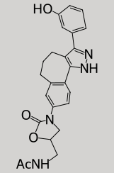 CC(=O)NCC1CN(c2ccc3c(c2)CCCc2c(-c4cccc(O)c4)n[nH]c2-3)C(=O)O1